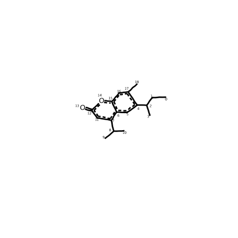 CCC(C)c1cc2c(C(C)C)cc(=O)oc2cc1C